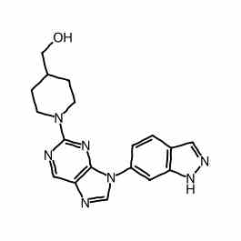 OCC1CCN(c2ncc3ncn(-c4ccc5cn[nH]c5c4)c3n2)CC1